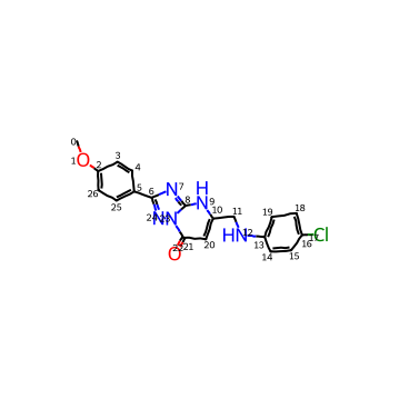 COc1ccc(-c2nc3[nH]c(CNc4ccc(Cl)cc4)cc(=O)n3n2)cc1